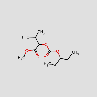 CCC(CC)OC(=O)OC(C(=O)OC)C(C)C